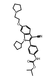 CC(C)OC(=O)Nc1ccc(-c2c(C#N)c3ccc(OCCN4CCCC4)cc3n2C2CCCC2)cc1